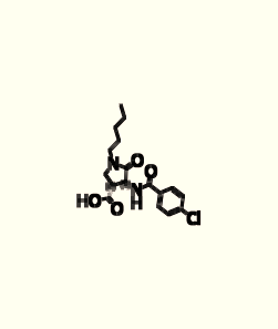 CCCCCN1C[C@@H](C(=O)O)[C@@H](NC(=O)c2ccc(Cl)cc2)C1=O